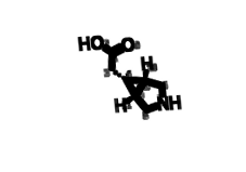 O=C(O)C[C@@H]1[C@@H]2CNC[C@@H]21